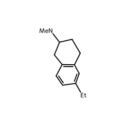 CCc1ccc2c(c1)CCC(NC)C2